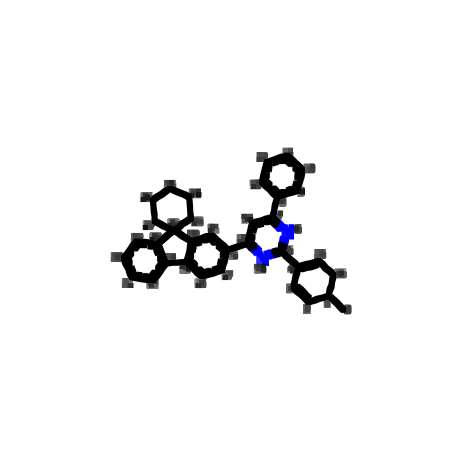 CC1C=CC(c2nc(-c3ccccc3)cc(-c3ccc4c(c3)C3(CCCCC3)c3ccccc3-4)n2)=CC1